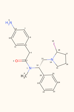 CN(C(=O)Cc1ccc(N)cc1)[C@H](CN1CCCC1I)c1ccccc1